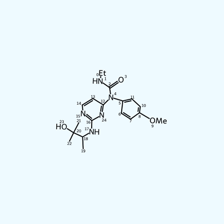 CCNC(=O)N(c1ccc(OC)cc1)c1ccnc(NC(C)C(C)(C)O)n1